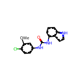 COc1cc(NC(=O)Nc2cccc3[nH]ccc23)ccc1Cl